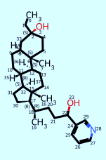 CC[C@]1(O)CC[C@@]2(C)[C@@H](CC[C@@H]3[C@@H]2CC[C@]2(C)[C@@H]([C@H](C)CCC(O)c4cccnc4)CC[C@@H]32)C1